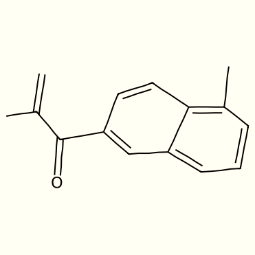 C=C(C)C(=O)c1ccc2c(C)cccc2c1